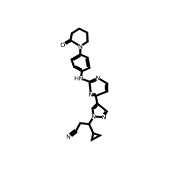 N#CCC(C1CC1)n1cc(-c2ccnc(Nc3ccc(N4CCCCC4=O)cc3)n2)cn1